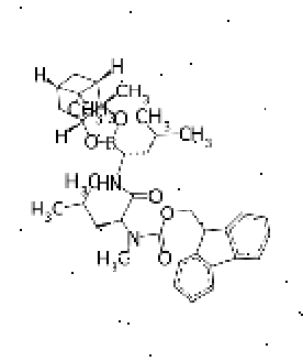 CC(C)C[C@H](NC(=O)[C@H](CC(C)C)N(C)C(=O)OCC1c2ccccc2-c2ccccc21)B1O[C@@H]2C[C@@H]3C[C@@H](C3(C)C)[C@]2(C)O1